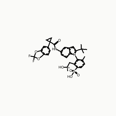 Cc1ccc(S(=O)(=O)O)c(C[C@@H](C)O)c1-n1c(C(C)(C)C)cc2cc(NC(=O)C3(c4ccc5c(c4)OC(F)(F)O5)CC3)ccc21